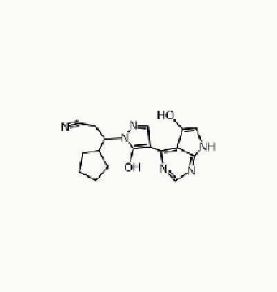 N#CCC(C1CCCC1)n1ncc(-c2ncnc3[nH]cc(O)c23)c1O